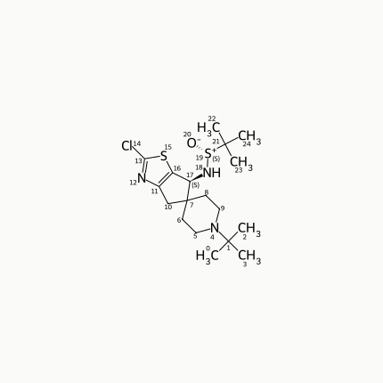 CC(C)(C)N1CCC2(CC1)Cc1nc(Cl)sc1[C@H]2N[S@+]([O-])C(C)(C)C